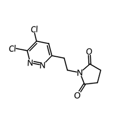 O=C1CCC(=O)N1CCc1cc(Cl)c(Cl)nn1